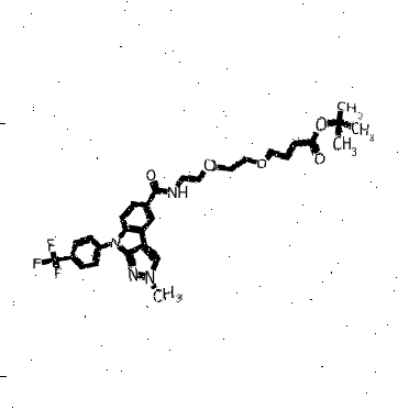 Cn1cc2c3cc(C(=O)NCCOCCOCCCC(=O)OC(C)(C)C)ccc3n(-c3ccc(C(F)(F)F)cc3)c2n1